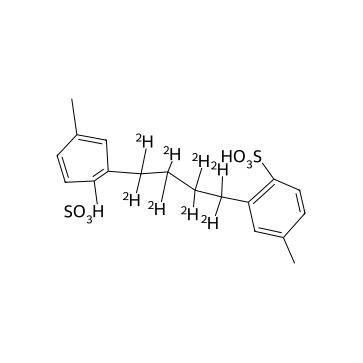 [2H]C([2H])(c1cc(C)ccc1S(=O)(=O)O)C([2H])([2H])C([2H])([2H])C([2H])([2H])c1cc(C)ccc1S(=O)(=O)O